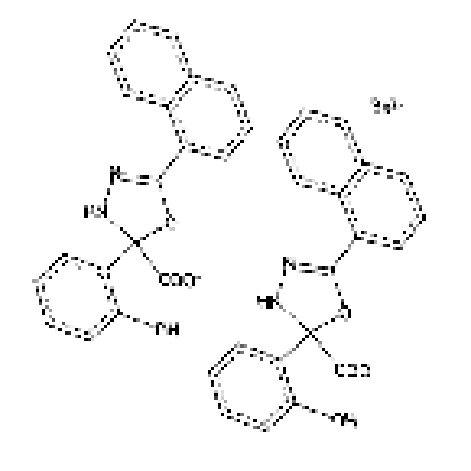 O=C([O-])C1(c2ccccc2O)NN=C(c2cccc3ccccc23)O1.O=C([O-])C1(c2ccccc2O)NN=C(c2cccc3ccccc23)O1.[Be+2]